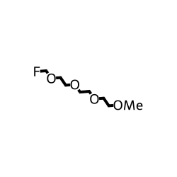 COCCOCCOCCOCF